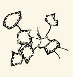 Cc1cc2c(cc1C)N(c1ccccc1)P(=O)(c1nc(-c3ccccc3)nc(-c3ccccc3)n1)N2c1ccccc1